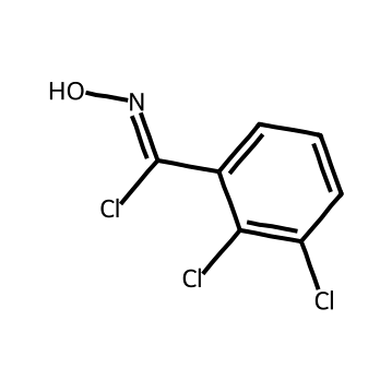 ON=C(Cl)c1cccc(Cl)c1Cl